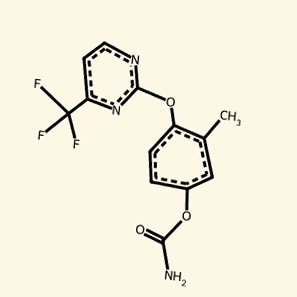 Cc1cc(OC(N)=O)ccc1Oc1nccc(C(F)(F)F)n1